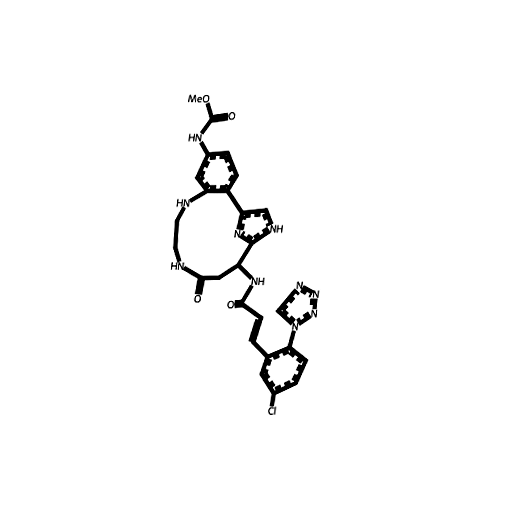 COC(=O)Nc1ccc2c(c1)NCCNC(=O)CC(NC(=O)C=Cc1cc(Cl)ccc1-n1cnnn1)c1nc-2c[nH]1